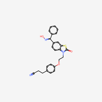 N#CCCc1ccc(OCCn2c(=O)sc3cc(/C(=N/O)c4ccccc4)ccc32)cc1